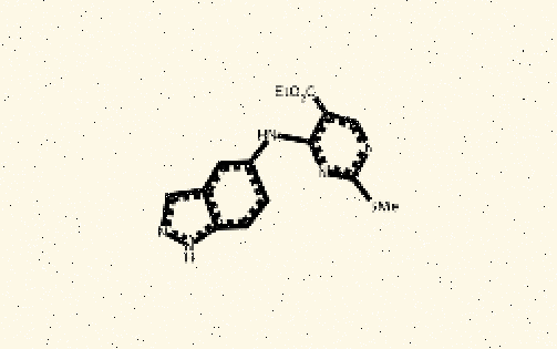 CCOC(=O)c1cnc(SC)nc1Nc1ccc2[nH]ncc2c1